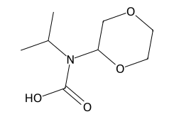 CC(C)N(C(=O)O)C1COCCO1